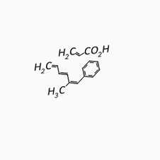 C=CC(=O)O.C=CC=CC(C)=Cc1ccccc1